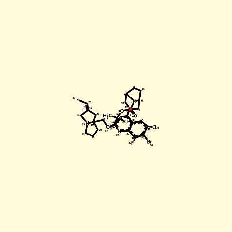 CC(C)(C)OC(=O)N1C2CCC1CN(c1nc(OCC34CCCN3C/C(=C\F)C4)nc3c(F)c(Br)c(Cl)cc13)C2